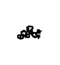 OC(c1ccc(F)c(Br)c1)C1(c2ccc3c(c2)CCO3)SCCCS1